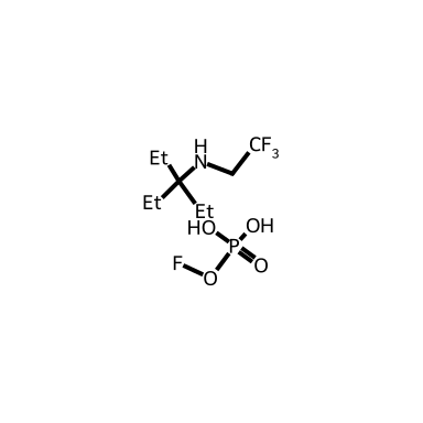 CCC(CC)(CC)NCC(F)(F)F.O=P(O)(O)OF